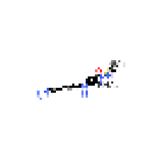 CNC1SC(NC(=O)c2ccc(NCCCCCCCCCN)cc2NC(C)=O)=NC1C